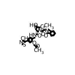 CC(=O)COc1cc(-c2scnc2C)ccc1CNC(=O)[C@@H]1C[C@@H](O)CN1C(=O)[C@H](C(C)C)N1Cc2ccccc2C1=O